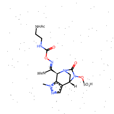 CN/C(=N\OC(=O)NCCNC(C)=O)[C@@H]1c2c(cnn2C)[C@@H]2CN1C(=O)N2OS(=O)(=O)O